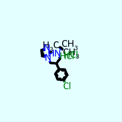 CC(C)(C)NCC(Cn1ccnc1)c1ccc(Cl)cc1.Cl.Cl